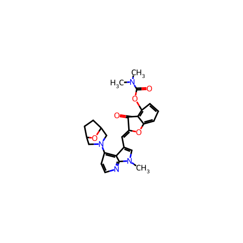 CN(C)C(=O)Oc1cccc2c1C(=O)/C(=C/c1cn(C)c3nccc(N4CC5CCC(C4)O5)c13)O2